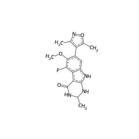 COc1c(-c2c(C)noc2C)cc2[nH]c3c(c2c1F)C(=O)NC(C)N3